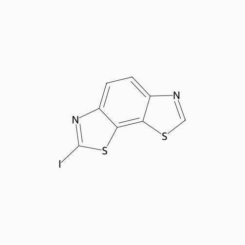 Ic1nc2ccc3ncsc3c2s1